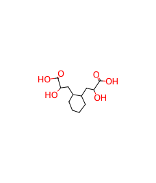 O=C(O)C(O)CC1CCCCC1CC(O)C(=O)O